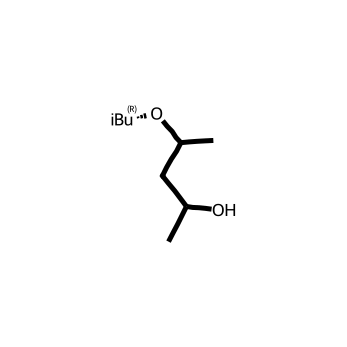 CC[C@@H](C)OC(C)CC(C)O